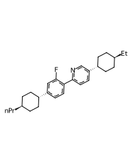 CCC[C@H]1CC[C@H](c2ccc(-c3ccc([C@H]4CC[C@H](CC)CC4)cn3)c(F)c2)CC1